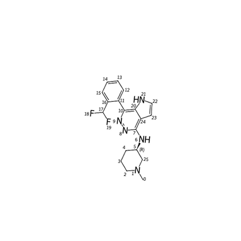 CN1CCC[C@@H](Nc2nnc(-c3ccccc3C(F)F)c3[nH]ccc23)C1